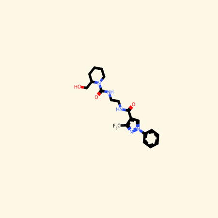 O=C(NCCNC(=O)N1CCCCC1CO)c1cn(-c2ccccc2)nc1C(F)(F)F